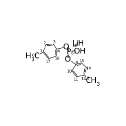 Cc1ccc(OP(O)Oc2ccc(C)cc2)cc1.[LiH]